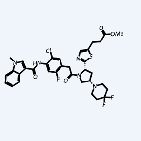 COC(=O)CCc1cnc([C@@H]2C[C@H](N3CCC(F)(F)CC3)CN2C(=O)Cc2cc(Cl)c(NC(=O)c3cn(C)c4ccccc34)cc2F)s1